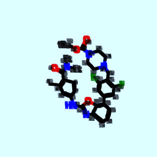 CCN(CC)C(=O)c1ccc(Nc2nc3cccc(-c4cc(F)c(CN5CCN(C(=O)OC(C)(C)C)CC5)c(F)c4)c3o2)cc1C